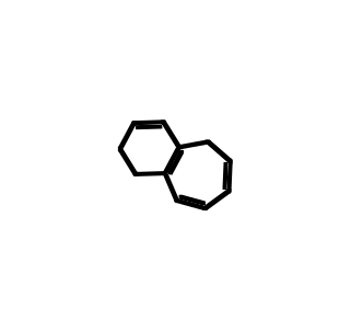 C1=CCC2=C(C=C1)CCC=C2